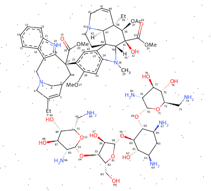 CCC1=CC2CN(C1)Cc1c([nH]c3ccccc13)[C@@](C(=O)OC)(c1cc3c(cc1OC)N(C)[C@H]1[C@@](O)(C(=O)OC)[C@H](OC(C)=O)[C@]4(CC)C=CCN5CC[C@]31[C@@H]54)C2.NC[C@@H]1O[C@H](O[C@H]2[C@@H](O)[C@H](O[C@@H]3[C@@H](O)[C@H](N)C[C@H](N)[C@H]3O[C@H]3O[C@H](CN)[C@@H](O)[C@H](O)[C@H]3N)O[C@@H]2CO)[C@H](N)[C@@H](O)[C@@H]1O